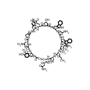 CCCC[C@H]1C(=O)N[C@@H](CN)C(=O)N[C@H](C(=O)NCC(N)=O)CSCC(=O)N[C@@H](Cc2ccc(O)cc2)C(=O)N(C)[C@@H](C)C(=O)N[C@@H](CC(N)=O)C(=O)N2CCC[C@H]2C(=O)N[C@@H](Cc2c[nH]cn2)C(=O)N[C@@H](CCC(=O)O)C(=O)N2C[C@H](O)C[C@H]2C(=O)N[C@@H](Cc2c[nH]c3ccccc23)C(=O)N[C@@H](CCN)C(=O)N[C@@H](Cc2c[nH]c3ccccc23)C(=O)N(C)[C@@H](C(C)CC)C(=O)N1C